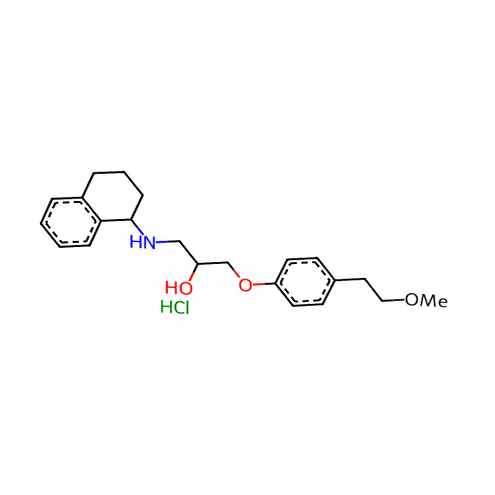 COCCc1ccc(OCC(O)CNC2CCCc3ccccc32)cc1.Cl